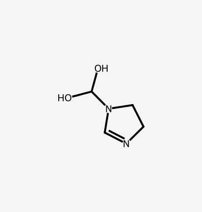 OC(O)N1C=NCC1